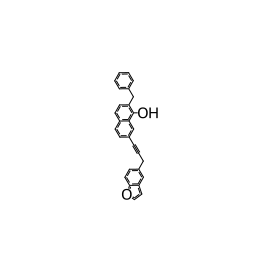 Oc1c(Cc2ccccc2)ccc2ccc(C#CCc3ccc4occc4c3)cc12